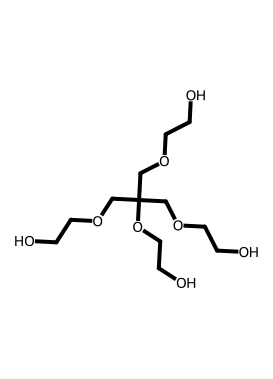 OCCOCC(COCCO)(COCCO)OCCO